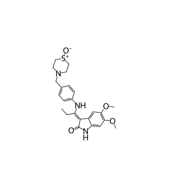 CCC(Nc1ccc(CN2CC[S+]([O-])CC2)cc1)=C1C(=O)Nc2cc(OC)c(OC)cc21